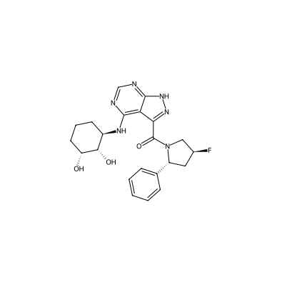 O=C(c1n[nH]c2ncnc(N[C@@H]3CCC[C@@H](O)[C@H]3O)c12)N1C[C@@H](F)C[C@@H]1c1ccccc1